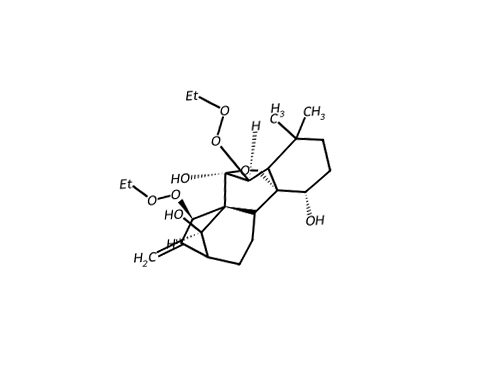 C=C1C2CCC3[C@@]45CO[C@@](O)([C@@H](OOCC)C4C(C)(C)CC[C@@H]5O)[C@@]3([C@@H]1OOCC)[C@@H]2O